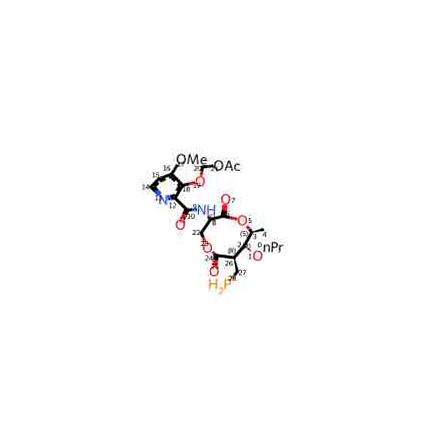 CCCO[C@H]1[C@H](C)OC(=O)[C@@H](NC(=O)c2nccc(OC)c2OCOC(C)=O)COC(=O)[C@@H]1CP